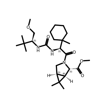 COC[C@@H](NC(=O)N[C@H](C(=O)N1C[C@H]2[C@@H]([C@H]1C(=O)OC)C2(C)C)C1(C)CCCCC1)C(C)(C)C